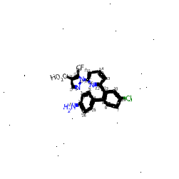 Nc1ccc(-c2ccc(Cl)cc2-c2cccc(-n3ncc(C(=O)O)c3C(F)(F)F)n2)cc1